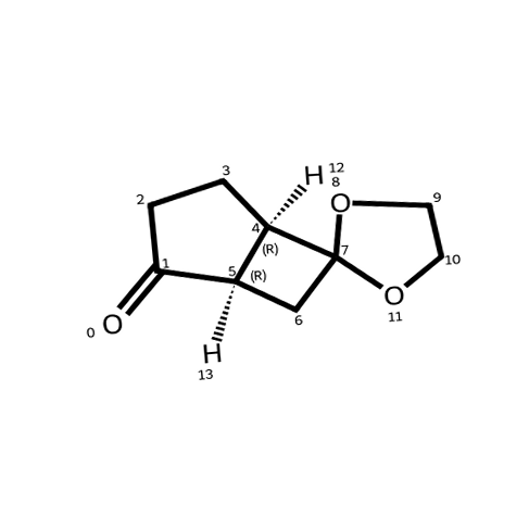 O=C1CC[C@@H]2[C@H]1CC21OCCO1